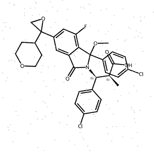 COC1(c2ccc(Cl)cc2)c2c(F)cc(C3(C4CCOCC4)CO3)cc2C(=O)N1[C@H](c1ccc(Cl)cc1)[C@H](C)C(=O)O